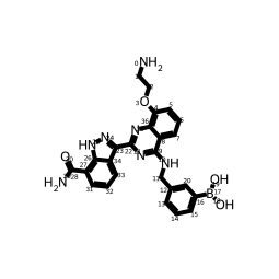 NCCOc1cccc2c(NCc3cccc(B(O)O)c3)nc(-c3n[nH]c4c(C(N)=O)cccc34)nc12